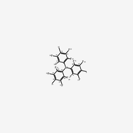 Cc1c(F)c(F)c(B(c2c(F)c(F)c(C)c(F)c2F)c2c(F)c(F)c(C)c(F)c2F)c(F)c1F